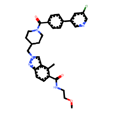 COCCNC(=O)c1ccc2nn(CC3CCN(C(=O)c4ccc(-c5cncc(Cl)c5)cc4)CC3)cc2c1C